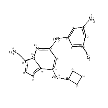 Nc1cc(Cl)cc(Nc2cc(NC3CCC3)c3ncc(N)n3n2)c1